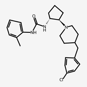 Cc1ccccc1NC(=O)N[C@@H]1CCC[C@H]1N1CCC(Cc2ccc(Cl)cc2)CC1